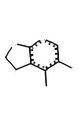 Cc1c(I)cnc2c1CCN2